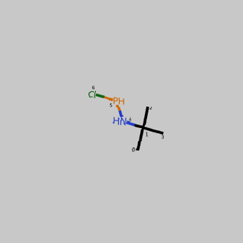 CC(C)(C)NPCl